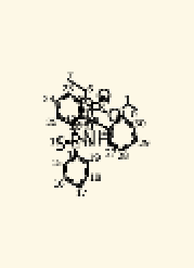 CCOP(=O)(OCC)[C@@](CC)(NP(=S)(c1ccccc1)c1ccccc1)c1ccccc1